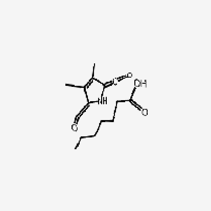 CCCCCCC(=O)O.Cc1c(C)c(=C=O)[nH]c1=C=O